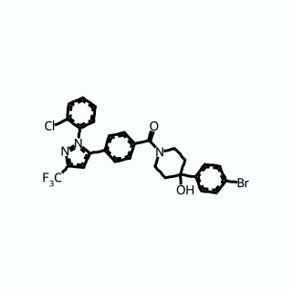 O=C(c1ccc(-c2cc(C(F)(F)F)nn2-c2ccccc2Cl)cc1)N1CCC(O)(c2ccc(Br)cc2)CC1